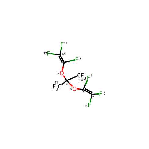 FC(F)=C(F)OC(OC(F)=C(F)F)(C(F)(F)F)C(F)(F)F